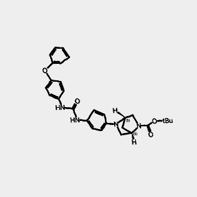 CC(C)(C)OC(=O)N1C[C@@H]2C[C@H]1CN2c1ccc(NC(=O)Nc2ccc(Oc3ccccc3)cc2)cc1